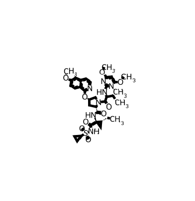 CC[C@@H]1C[C@]1(NC(=O)[C@@H]1C[C@@H](Oc2nccc3cc(OC)ccc23)CN1C(=O)C(Nc1nc(OC)cc(OC)n1)C(C)C)C(=O)NS(=O)(=O)C1CC1